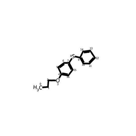 CCCOc1ccc(Sc2ccccc2)cc1